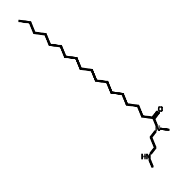 CCCCCCCCCCCCCCCCCC(=O)N(C)CCNC